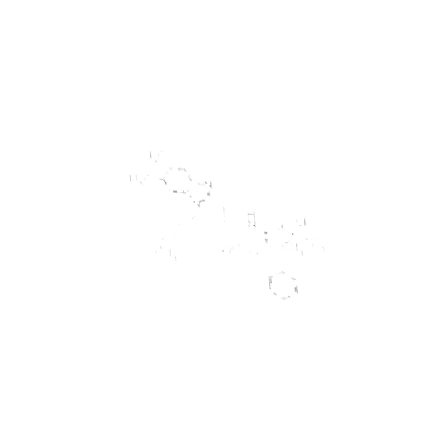 CCCCCn1c(CCC(NC(=O)OC(C)(C)C)C(=O)OCc2ccccc2)nc2cc(C)c(C)cc21